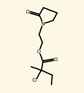 CCC(C)(Cl)C(=O)OCCN1CCCC1=O